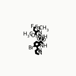 COc1nc(NS(=O)(=O)c2c[nH]c3c(-c4cccnn4)c(Br)ccc23)nc(OC)c1CC(F)F